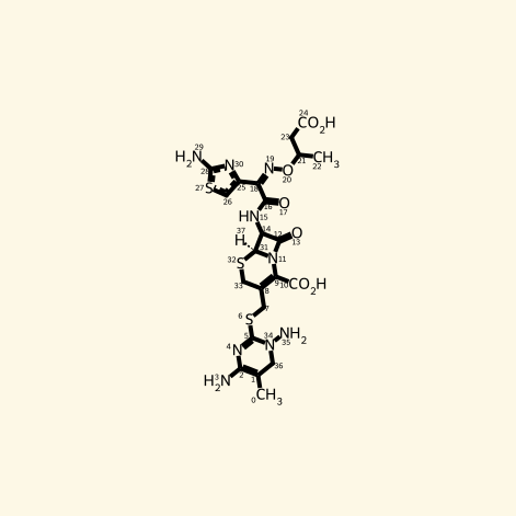 CC1=C(N)N=C(SCC2=C(C(=O)O)N3C(=O)C(NC(=O)/C(=N\OC(C)CC(=O)O)c4csc(N)n4)[C@@H]3SC2)N(N)C1